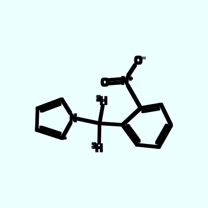 [3H]C([3H])(c1ccccc1[N+](=O)[O-])n1[c]ccc1